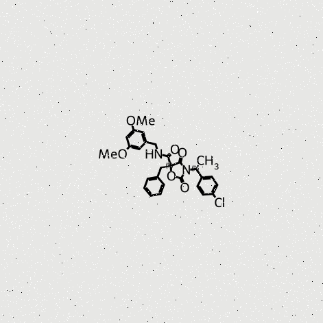 COc1cc(CNC(=O)[C@@]2(Cc3ccccc3)OC(=O)N([C@H](C)c3ccc(Cl)cc3)C2=O)cc(OC)c1